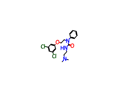 CN(C)CCNC(=O)N(CCOc1cc(Cl)cc(Cl)c1)c1ccccc1